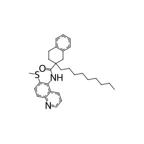 CCCCCCCCCC1(C(=O)Nc2c(SC)ccc3ncccc23)CCc2ccccc2C1